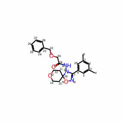 Cc1cc(C)cc(C2=NOC3(CCOCC3)N2NC(=O)COCc2ccccc2)c1